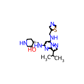 CC(C)c1cnn2c(NCc3cncs3)cc(NC[C@H]3CCNC[C@@H]3O)nc12